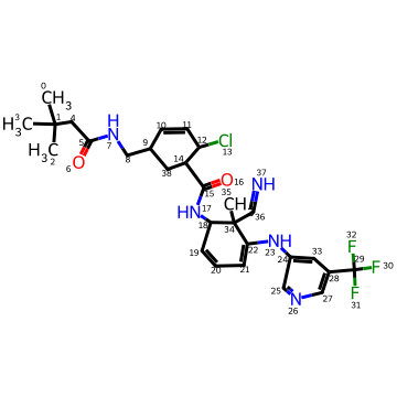 CC(C)(C)CC(=O)NCC1C=CC(Cl)C(C(=O)NC2C=CC=C(Nc3cncc(C(F)(F)F)c3)C2(C)C=N)C1